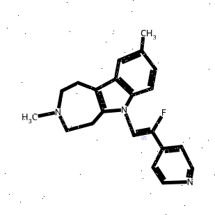 Cc1ccc2c(c1)c1c(n2/C=C(\F)c2ccncc2)CCN(C)CC1